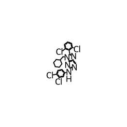 Clc1ccc(Nc2ncc3nc(-c4c(Cl)cccc4Cl)n(CC4CCCCC4)c3n2)cc1Cl